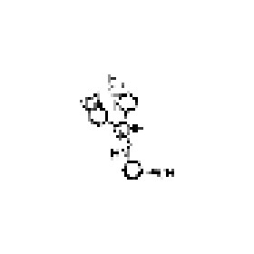 C#CC1=CC=CC(NCc2nc(-c3ccc4ncnn4c3)c(-c3cccc(C)n3)[nH]2)C1